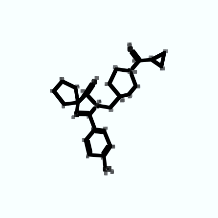 Cc1ccc(C2=NC3(CCCC3)C(=O)N2CC2CCN(C(=O)C3CC3)CC2)cc1